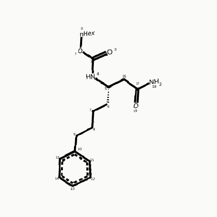 CCCCCCOC(=O)N[C@@H](CCCCc1ccccc1)CC(N)=O